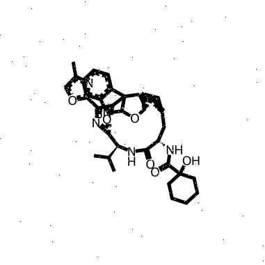 Cc1coc(-c2nc3oc2C24c5ccccc5NC2Oc2ccc(cc24)C[C@H](NC(=O)C2(O)CCCCC2)C(=O)N[C@H]3C(C)C)n1